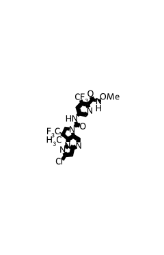 CONC(=O)c1ncc(NC(=O)N2C[C@@](C)(C(F)(F)F)c3c2cnc2cc(Cl)nn32)cc1C(F)(F)F